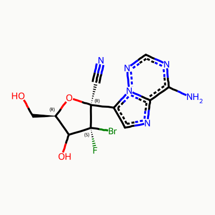 N#C[C@@]1(c2cnc3c(N)ncnn23)O[C@H](CO)C(O)[C@]1(F)Br